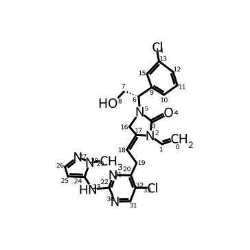 C=CN1C(=O)N([C@H](CO)c2cccc(Cl)c2)C/C1=C/Cc1nc(Nc2ccnn2C)ncc1Cl